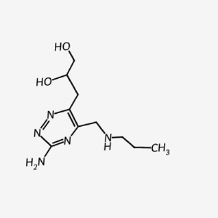 CCCNCc1nc(N)nnc1CC(O)CO